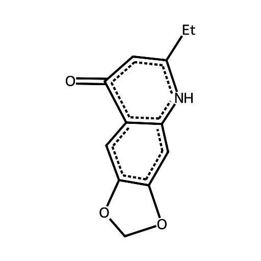 CCc1cc(=O)c2cc3c(cc2[nH]1)OCO3